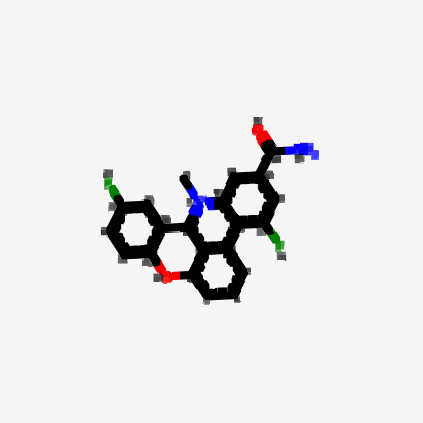 C[n+]1c2c3c(cccc3c3c(F)cc(C(N)=O)cc31)Oc1ccc(F)cc1-2